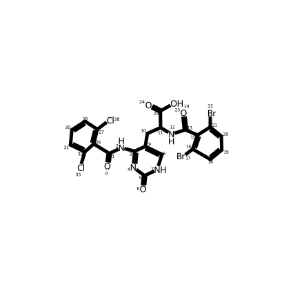 O=C(Nc1nc(=O)[nH]cc1CC(NC(=O)c1c(Br)cccc1Br)C(=O)O)c1c(Cl)cccc1Cl